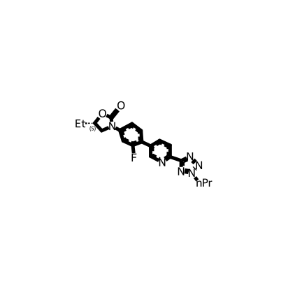 CCCn1nnc(-c2ccc(-c3ccc(N4C[C@H](CC)OC4=O)cc3F)cn2)n1